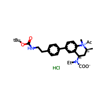 CCN(C(=O)[O-])[C@@H]1C[C@H](C)[N+](C)(C(C)=O)c2ccc(-c3ccc(CCNC(=O)OC(C)(C)C)cc3)cc21.Cl